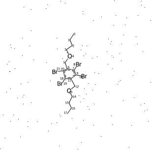 CCCCOCc1c(Br)c(Br)c(COCCCC)c(Br)c1Br